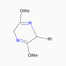 COC1=NC(C(C)C)C(OC)=NC1